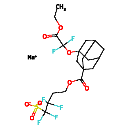 CCOC(=O)C(F)(F)OC12CC3CC(C1)CC(C(=O)OCCC(F)(F)C(F)(F)S(=O)(=O)[O-])(C3)C2.[Na+]